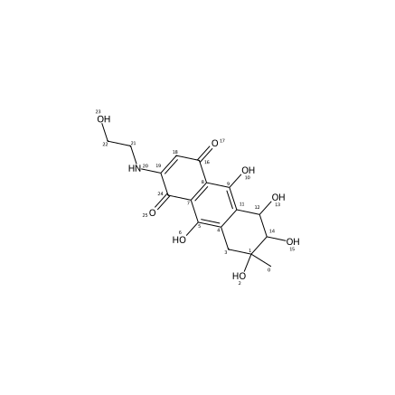 CC1(O)Cc2c(O)c3c(c(O)c2C(O)C1O)C(=O)C=C(NCCO)C3=O